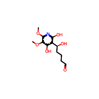 COc1nc(O)c([C@@H](O)CCCC=O)c(O)c1OC